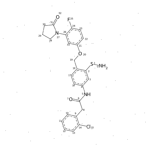 NSc1cc(NC(=O)Cc2ccccc2Cl)ccc1COc1ccc(F)c(N2CCCC2=O)c1